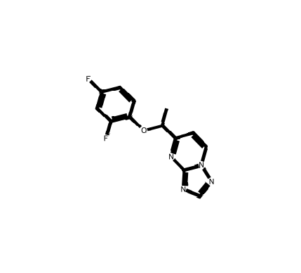 CC(Oc1ccc(F)cc1F)c1ccn2ncnc2n1